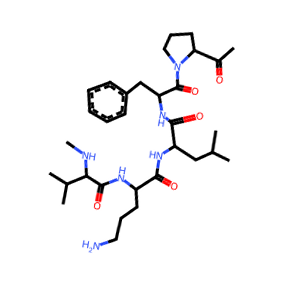 CNC(C(=O)NC(CCCN)C(=O)NC(CC(C)C)C(=O)NC(Cc1ccccc1)C(=O)N1CCCC1C(C)=O)C(C)C